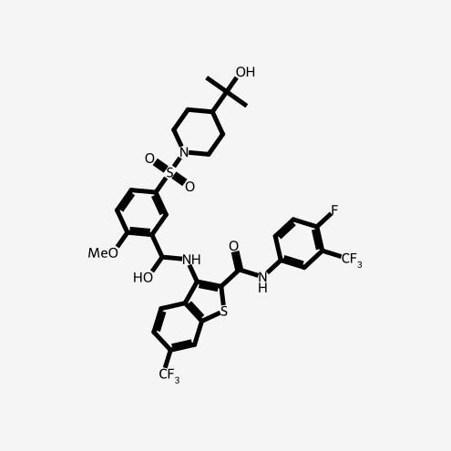 COc1ccc(S(=O)(=O)N2CCC(C(C)(C)O)CC2)cc1C(O)Nc1c(C(=O)Nc2ccc(F)c(C(F)(F)F)c2)sc2cc(C(F)(F)F)ccc12